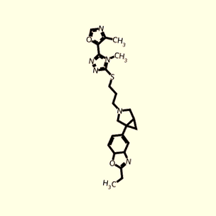 CCC1=NC2C=C(C34CC3CN(CCCSc3nnc(-c5ocnc5C)n3C)C4)C=CC2O1